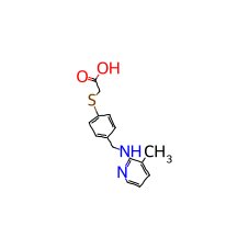 Cc1cccnc1NCc1ccc(SCC(=O)O)cc1